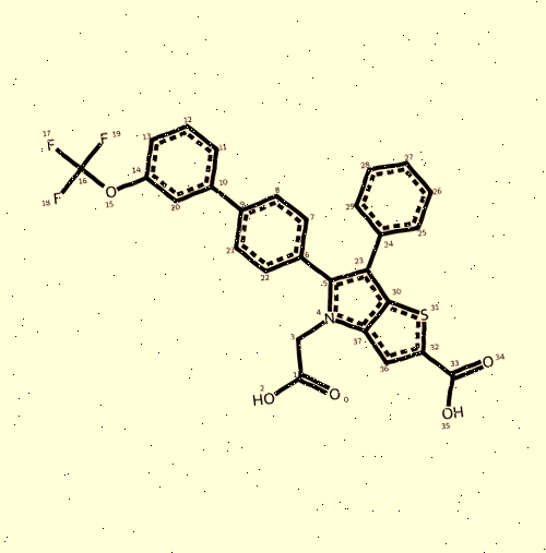 O=C(O)Cn1c(-c2ccc(-c3cccc(OC(F)(F)F)c3)cc2)c(-c2ccccc2)c2sc(C(=O)O)cc21